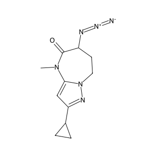 CN1C(=O)C(N=[N+]=[N-])CCn2nc(C3CC3)cc21